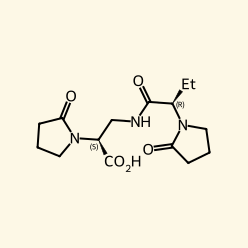 CC[C@H](C(=O)NC[C@@H](C(=O)O)N1CCCC1=O)N1CCCC1=O